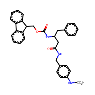 O=C(O)Nc1ccc(CNC(=O)CC(Cc2ccccc2)NC(=O)OCC2c3ccccc3-c3ccccc32)cc1